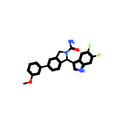 COc1cccc(-c2ccc3c(c2)CN(C(N)=O)C3c2c[nH]c3cc(F)c(F)cc23)c1